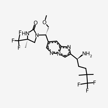 COC[C@H](c1cnn2cc([C@@H](N)CCC(C)(C)C(F)(F)F)nc2c1)N1C[C@@](C)(C(F)(F)F)NC1=O